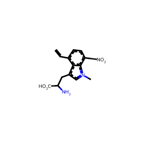 C=Cc1ccc([N+](=O)[O-])c2c1c(CC(N)C(=O)O)cn2C